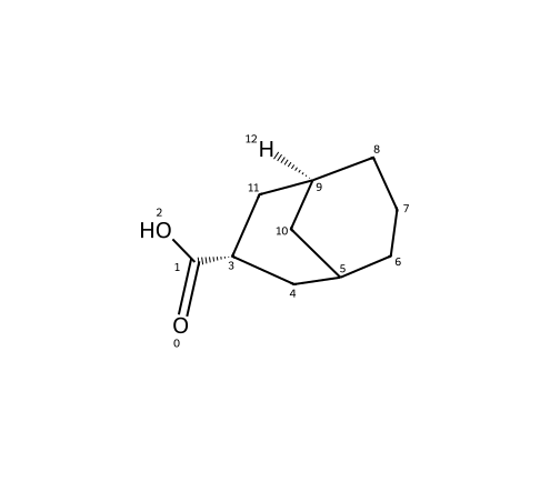 O=C(O)[C@H]1CC2CCC[C@@H](C2)C1